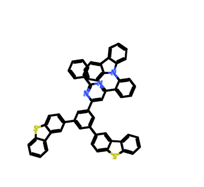 c1ccc(-c2nc(-c3cc(-c4ccc5sc6ccccc6c5c4)cc(-c4ccc5sc6ccccc6c5c4)c3)cc(-c3ccccc3-n3c4ccccc4c4ccccc43)n2)cc1